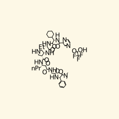 CCC[C@H](NC(=O)[C@@H]1CNC[C@@H]1NC(=O)[C@H](CC)NC(=O)[C@@H](NC(=O)c1cnccn1)C1CCCCC1)C(=O)C(=O)NCC(=O)N[C@H](C(=O)N(C)C)c1ccccc1.O=C(O)C(F)(F)F